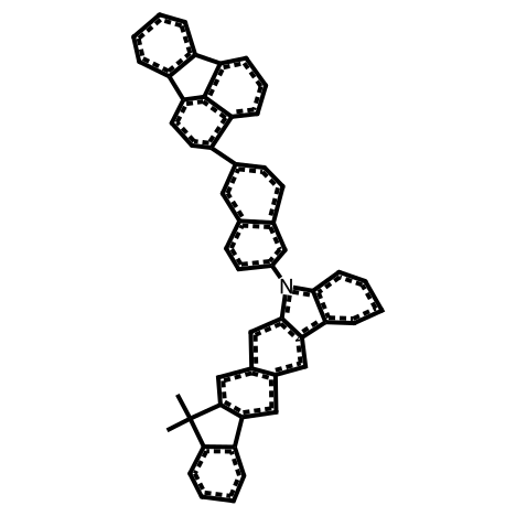 CC1(C)c2ccccc2-c2cc3cc4c5ccccc5n(-c5ccc6cc(-c7ccc8c9c(cccc79)-c7ccccc7-8)ccc6c5)c4cc3cc21